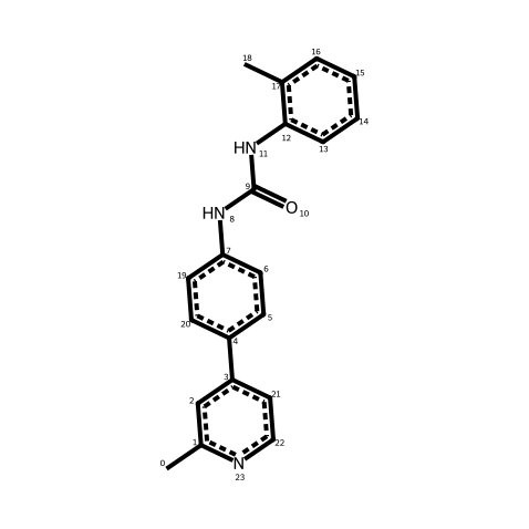 Cc1cc(-c2ccc(NC(=O)Nc3ccccc3C)cc2)ccn1